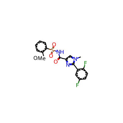 COc1ccccc1S(=O)(=O)NC(=O)c1cn(C)c(-c2cc(F)ccc2F)n1